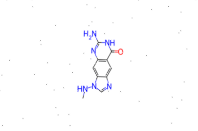 CNn1cnc2cc3c(=O)[nH]c(N)nc3cc21